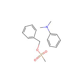 CN(C)c1ccccc1.CS(=O)(=O)OCc1ccccc1